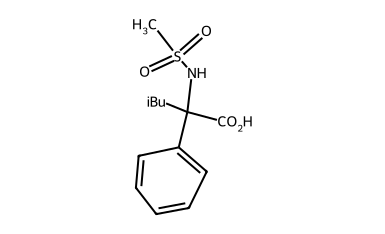 CCC(C)C(NS(C)(=O)=O)(C(=O)O)c1ccccc1